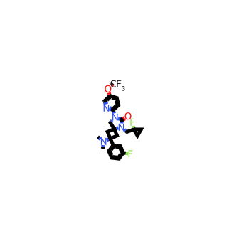 CN(C)C1(c2cccc(F)c2)CC2(CN(c3ccc(OC(F)(F)F)cn3)C(=O)N2CC2(F)CC2)C1